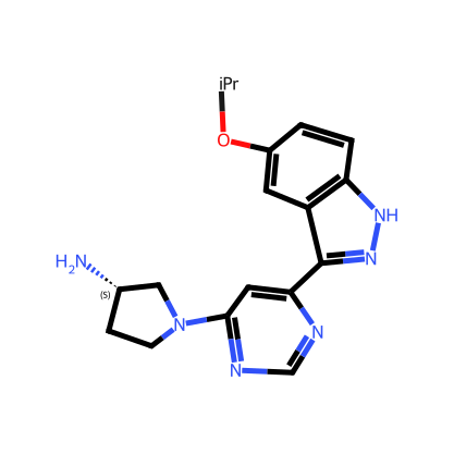 CC(C)Oc1ccc2[nH]nc(-c3cc(N4CC[C@H](N)C4)ncn3)c2c1